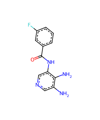 Nc1cncc(NC(=O)c2cccc(F)c2)c1N